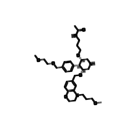 COCCCN1CCOc2ccc(CO[C@H]3CNC[C@@H](OCCCNC(C)=O)[C@H]3c3ccc(COCCOC)cc3)cc21